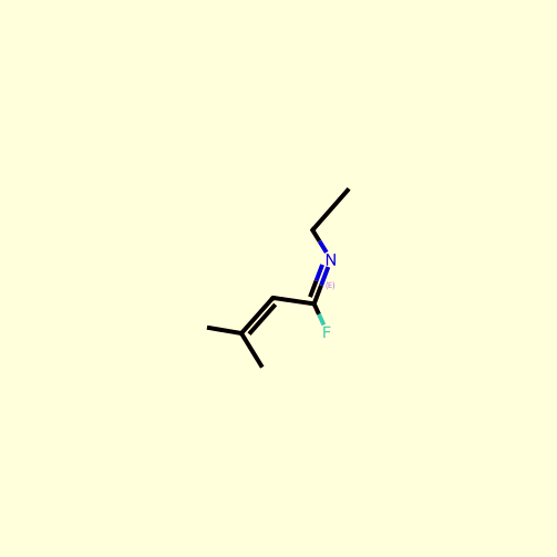 CC/N=C(/F)C=C(C)C